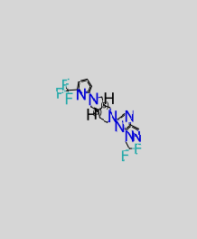 FC(F)Cn1ncc2ncc(N3CC[C@@H]4CN(c5cccc(C(F)(F)F)n5)C[C@H]4C3)nc21